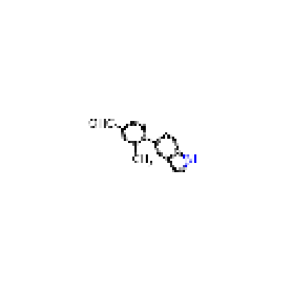 Cc1cc(C=O)ccc1-c1ccc2[nH]ccc2c1